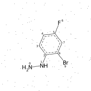 NNc1ccc(F)cc1Br